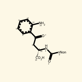 CCCCCCCCCC(=O)N[C@@H](CC(=O)c1ccccc1N)C(=O)O